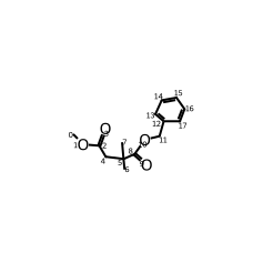 COC(=O)CC(C)(C)C(=O)OCc1ccccc1